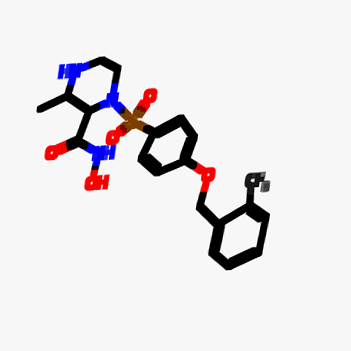 CC1NCCN(S(=O)(=O)c2ccc(OCc3ccccc3C(F)(F)F)cc2)C1C(=O)NO